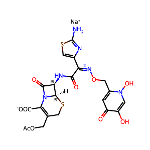 CC(=O)OCC1=C(C(=O)[O-])N2C(=O)[C@@H](NC(=O)/C(=N\OCc3cc(=O)c(O)cn3O)c3csc(N)n3)[C@H]2SC1.[Na+]